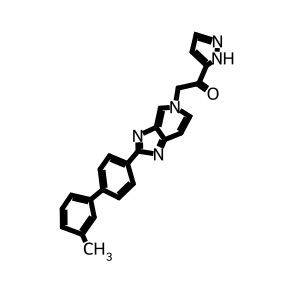 Cc1cccc(-c2ccc(-c3nc4ccn(CC(=O)c5ccn[nH]5)cc-4n3)cc2)c1